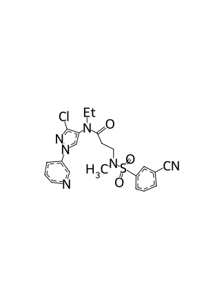 CCN(C(=O)CCN(C)S(=O)(=O)c1cccc(C#N)c1)c1cn(-c2cccnc2)nc1Cl